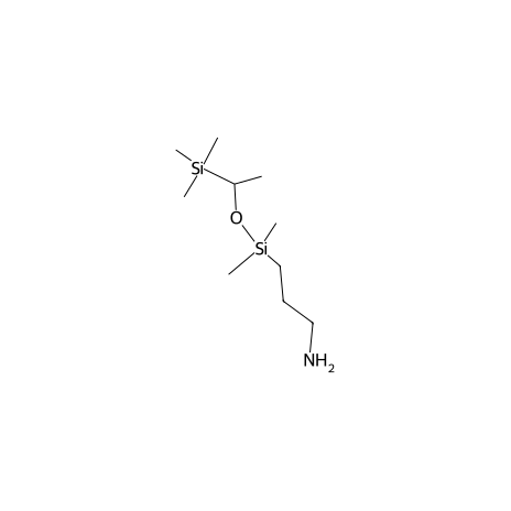 CC(O[Si](C)(C)CCCN)[Si](C)(C)C